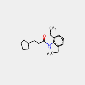 CCc1cccc(CC)c1NC(=O)CCC1CCCC1